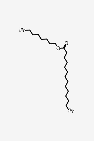 CC(C)CCCCCCCCCCCCC(=O)OCCCCCCCC(C)C